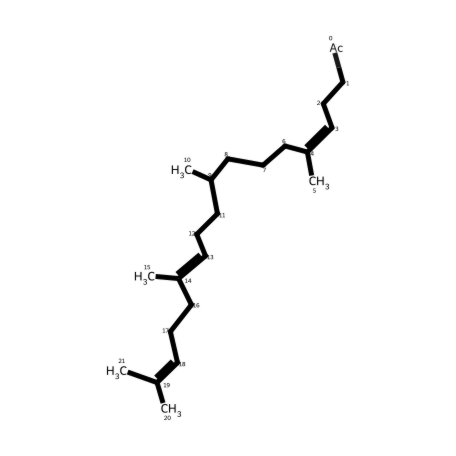 CC(=O)CC/C=C(/C)CCCC(C)CC/C=C(\C)CCC=C(C)C